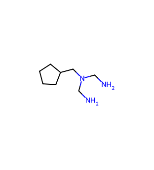 NCN(CN)CC1CCCC1